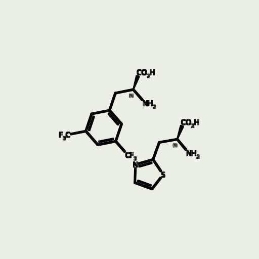 N[C@@H](Cc1cc(C(F)(F)F)cc(C(F)(F)F)c1)C(=O)O.N[C@@H](Cc1nccs1)C(=O)O